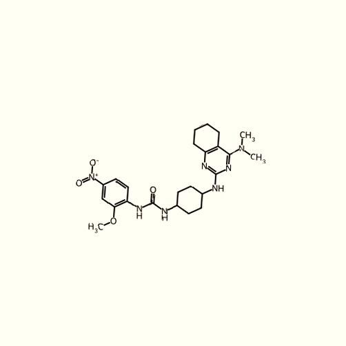 COc1cc([N+](=O)[O-])ccc1NC(=O)NC1CCC(Nc2nc3c(c(N(C)C)n2)CCCC3)CC1